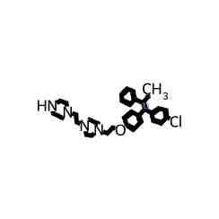 CC/C(=C(\c1ccc(Cl)cc1)c1ccc(OCCN2CCN(CCN3CCNCC3)CC2)cc1)c1ccccc1